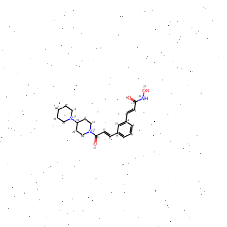 O=C(C=Cc1cccc(C=CC(=O)N2CCC(N3CCCCC3)CC2)c1)NO